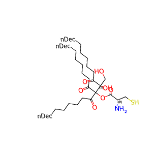 CCCCCCCCCCCCCCCC(=O)C(OC(=O)[C@@H](N)CS)(C(=O)CCCCCCCCCCCCCCC)[C@@](O)(CO)C(=O)CCCCCCCCCCCCCCC